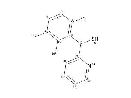 Cc1ccc(C)c(C(S)c2ccccn2)c1C